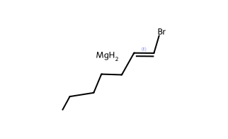 CCCCC/C=C/Br.[MgH2]